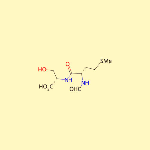 CSCC[C@H](NC=O)C(=O)N[C@@H](CO)C(=O)O